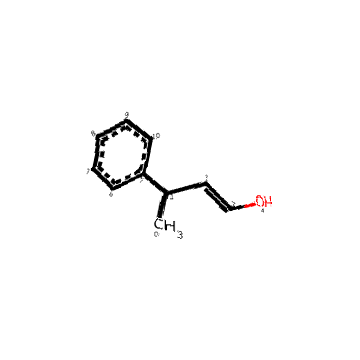 CC(C=CO)c1ccccc1